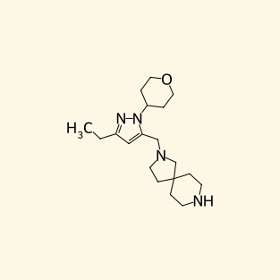 CCc1cc(CN2CCC3(CCNCC3)C2)n(C2CCOCC2)n1